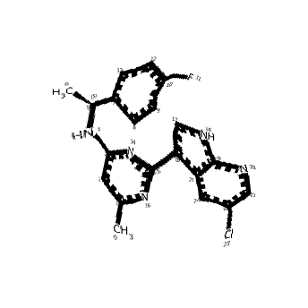 Cc1cc(N[C@@H](C)c2ccc(F)cc2)nc(-c2c[nH]c3ncc(Cl)cc23)n1